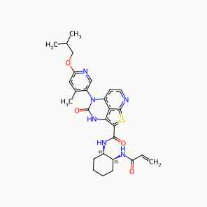 C=CC(=O)N[C@H]1CCCC[C@H]1NC(=O)c1sc2nccc3c2c1NC(=O)N3c1cnc(OCC(C)C)cc1C